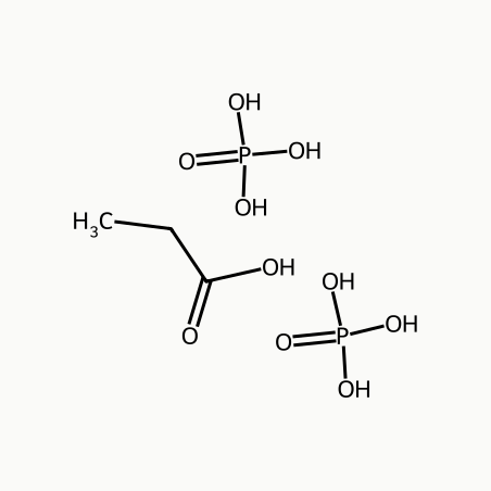 CCC(=O)O.O=P(O)(O)O.O=P(O)(O)O